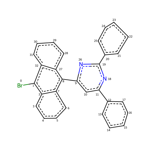 Brc1c2ccccc2c(-c2cc(-c3ccccc3)nc(-c3ccccc3)n2)c2ccccc12